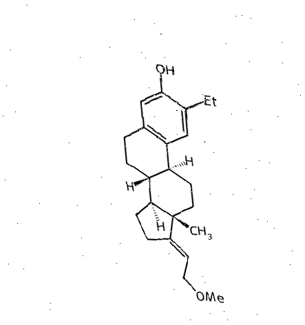 CCc1cc2c(cc1O)CC[C@@H]1[C@@H]2CC[C@]2(C)/C(=C/COC)CC[C@@H]12